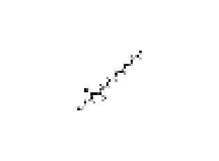 CCCCCCCCCCOC(=O)C(O)CCSC